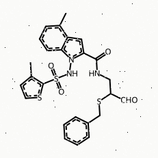 Cc1ccsc1S(=O)(=O)Nn1c(C(=O)NCC(C=O)SCc2ccccc2)cc2c(C)cccc21